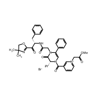 COC(=O)C[n+]1cccc(C(=O)N2C=C(c3ccccc3)N(CC(=O)N[C@@H](Cc3ccccc3)C(=O)C3=NC(C)(C)CO3)C(=O)[C@H]2C(C)C)c1.[Br-]